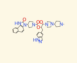 CN1CCC(N2CCN(C(=O)C(Cc3ccc4[nH]ncc4c3)OC(=O)N3CCC(n4c(=O)[nH]c5c6ccccc6ccc54)CC3)CC2)CC1